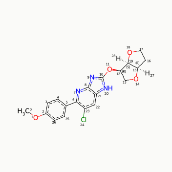 COc1ccc(-c2nc3nc(O[C@@H]4CO[C@@H]5CCO[C@@H]54)[nH]c3cc2Cl)cc1